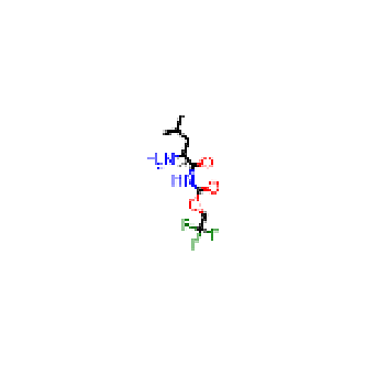 CC(C)C[C@H](N)C(=O)NC(=O)OCC(F)(F)F